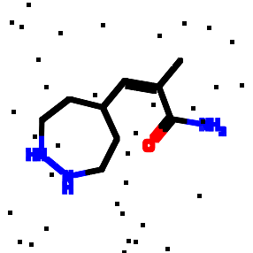 CC(=CC1CCNNCC1)C(N)=O